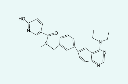 CCN(CC)c1ncnc2ccc(-c3cccc(CN(C)C(=O)c4ccc(O)nc4)c3)cc12